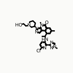 Cc1cc(C(C)Nc2ccc(Cl)nc2-c2ncn(C)n2)c2c(c1)c(=O)n(C)c1c2cnn1C1CCCN(CCO)C1